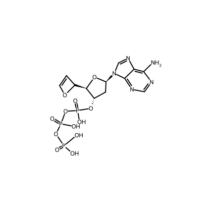 Nc1ncnc2c1ncn2[C@H]1C[C@H](OP(=O)(O)OP(=O)(O)OP(=O)(O)O)[C@@H](C2C=CO2)O1